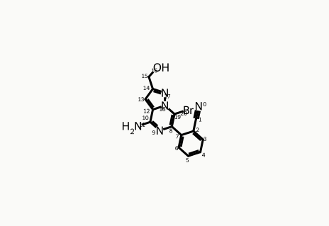 N#Cc1ccccc1-c1nc(N)c2cc(CO)nn2c1Br